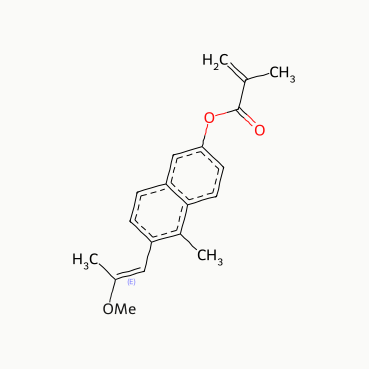 C=C(C)C(=O)Oc1ccc2c(C)c(/C=C(\C)OC)ccc2c1